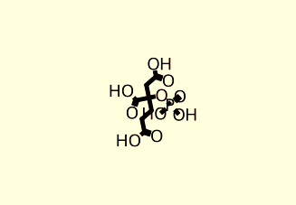 O=C(O)CCC(CC(=O)O)(OP(=O)(O)O)C(=O)O